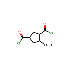 O=C(Cl)C1CC(C(=O)O)C(C(=O)Cl)C1